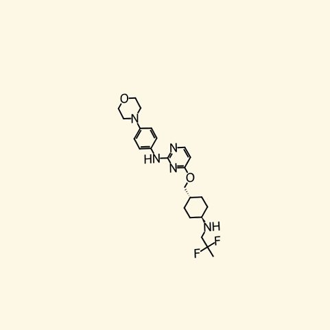 CC(F)(F)CN[C@H]1CC[C@H](COc2ccnc(Nc3ccc(N4CCOCC4)cc3)n2)CC1